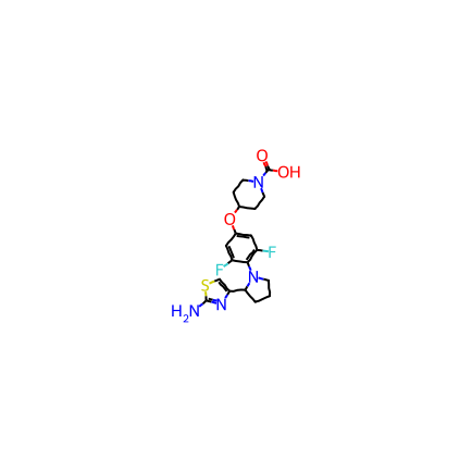 Nc1nc(C2CCCN2c2c(F)cc(OC3CCN(C(=O)O)CC3)cc2F)cs1